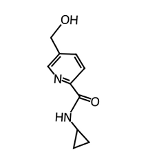 O=C(NC1CC1)c1ccc(CO)cn1